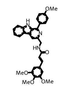 COc1ccc(-c2nc(CNC(=O)/C=C/c3cc(OC)c(OC)c(OC)c3)cc3c2[nH]c2ccccc23)cc1